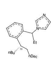 CCCCCCCCCCC[C@H](CCCC)c1ccccc1C(CC)n1ccnc1